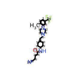 Cc1ccc(C(F)(F)F)cc1N1CCN(CCC2CCC(NC(=O)CCCC#N)CC2)CC1